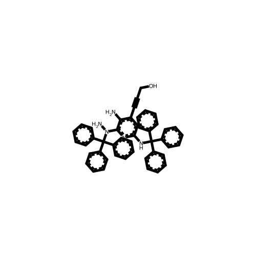 Nc1c(C#CCO)cc(NC(c2ccccc2)(c2ccccc2)c2ccccc2)nc1N(N)C(c1ccccc1)(c1ccccc1)c1ccccc1